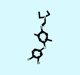 CCN(/C=N/c1cc(C)c(Oc2ccc(F)c(Br)c2)cc1C)CC